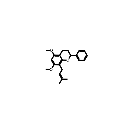 COc1cc(OC)c2c(c1CC=C(C)C)OC(c1ccccc1)CC2